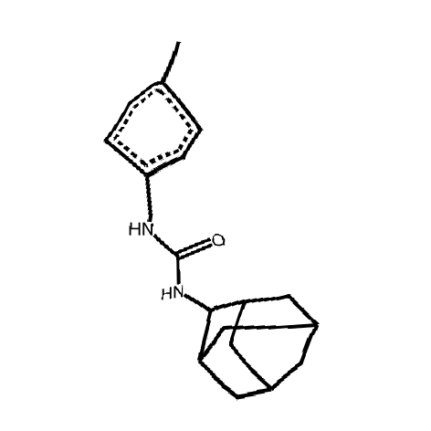 Cc1ccc(NC(=O)NC2C3CC4CC(C3)CC2C4)cc1